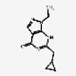 CCn1ncc2c(=O)nc(CC3CC3)[nH]c21